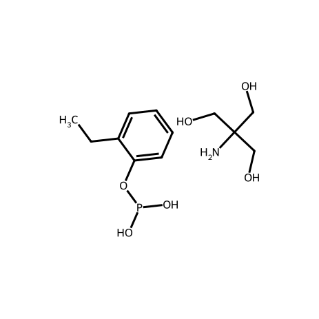 CCc1ccccc1OP(O)O.NC(CO)(CO)CO